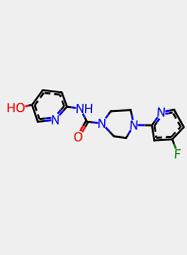 O=C(Nc1ccc(O)cn1)N1CCN(c2cc(F)ccn2)CC1